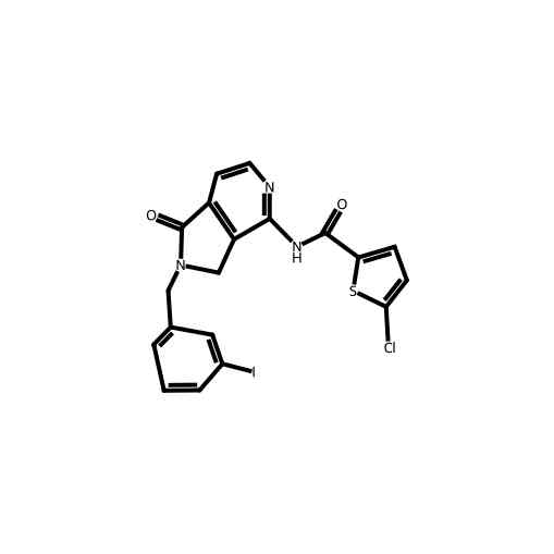 O=C(Nc1nccc2c1CN(Cc1cccc(I)c1)C2=O)c1ccc(Cl)s1